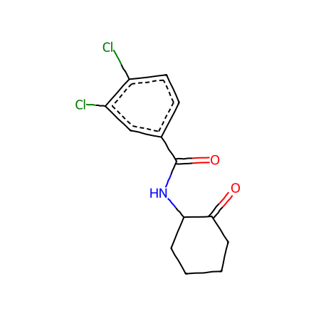 O=C(NC1CCCCC1=O)c1ccc(Cl)c(Cl)c1